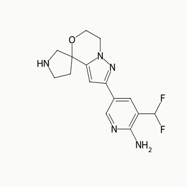 Nc1ncc(-c2cc3n(n2)CCOC32CCNC2)cc1C(F)F